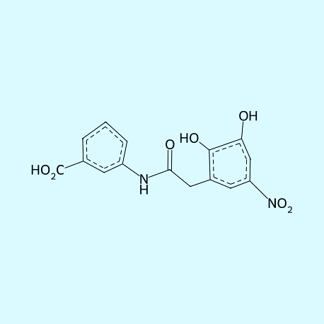 O=C(Cc1cc([N+](=O)[O-])cc(O)c1O)Nc1cccc(C(=O)O)c1